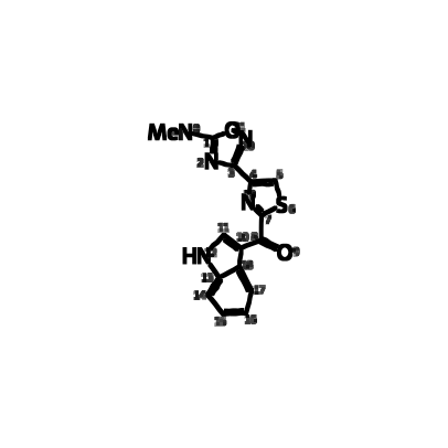 CNc1nc(-c2csc(C(=O)c3c[nH]c4ccccc34)n2)no1